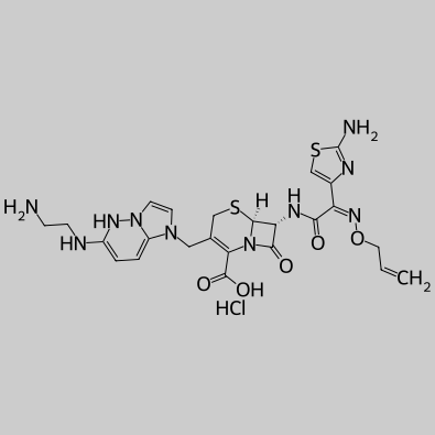 C=CCO/N=C(\C(=O)N[C@@H]1C(=O)N2C(C(=O)O)=C(CN3C=CN4NC(NCCN)=CC=C34)CS[C@@H]12)c1csc(N)n1.Cl